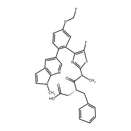 CN(C(=O)[C@@H](CC(=O)O)Cc1ccccc1)c1nc(-c2cc(OCF)ccc2-c2cnc3c(ccn3C)c2)c(F)s1